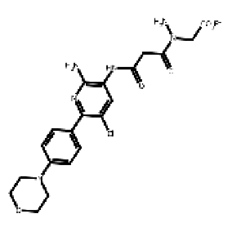 CCOC(=O)CN(N)C(=O)CC(=O)Nc1cc(Cl)c(-c2ccc(N3CCOCC3)cc2)nc1N